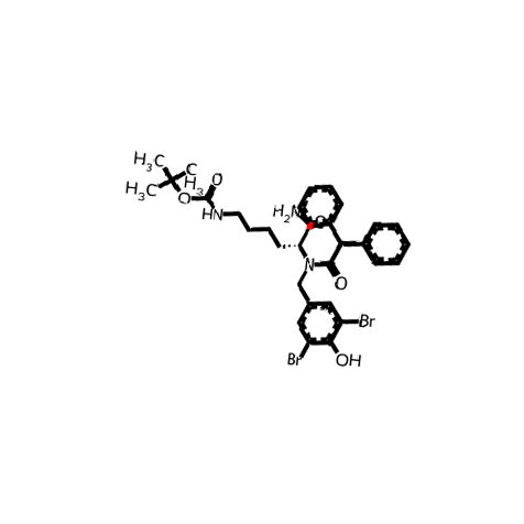 CC(C)(C)OC(=O)NCCCC[C@H](C(N)=O)N(Cc1cc(Br)c(O)c(Br)c1)C(=O)C(c1ccccc1)c1ccccc1